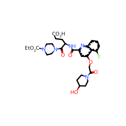 CCOC(=O)N1CCN(C(=O)C(CCC(=O)O)NC(=O)c2cc(OCC(=O)N3CCC(O)CC3)c3c(F)cccc3n2)CC1